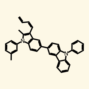 C=C/C=C\c1c(C)n(-c2cccc(C)c2)c2ccc(-c3ccc4c(c3)c3ccccc3n4-c3ccccc3)cc12